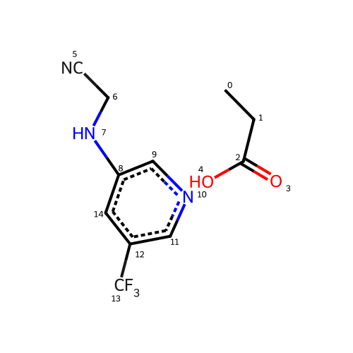 CCC(=O)O.N#CCNc1cncc(C(F)(F)F)c1